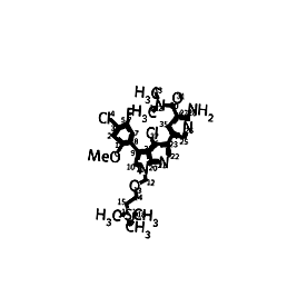 COc1cc(Cl)c(F)cc1-c1cn(COCC[Si](C)(C)C)c2ncc(-c3cnc(N)c(C(=O)N(C)C)c3)c(Cl)c12